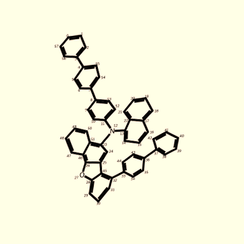 c1ccc(-c2ccc(-c3ccc(N(c4cccc5ccccc45)c4cc5c(oc6cccc(-c7ccc(-c8ccccc8)cc7)c65)c5ccccc45)cc3)cc2)cc1